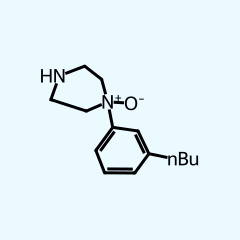 CCCCc1cccc([N+]2([O-])CCNCC2)c1